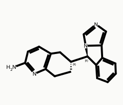 Nc1ccc2c(n1)CC[C@@H]([C@@H]1c3ccccc3-c3cncn31)C2